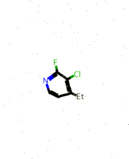 C[CH]c1ccnc(F)c1Cl